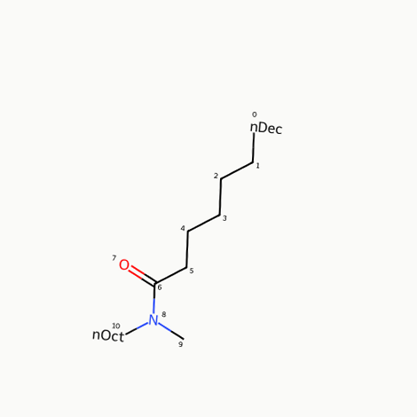 CCCCCCCCCCCCCCCC(=O)N(C)CCCCCCCC